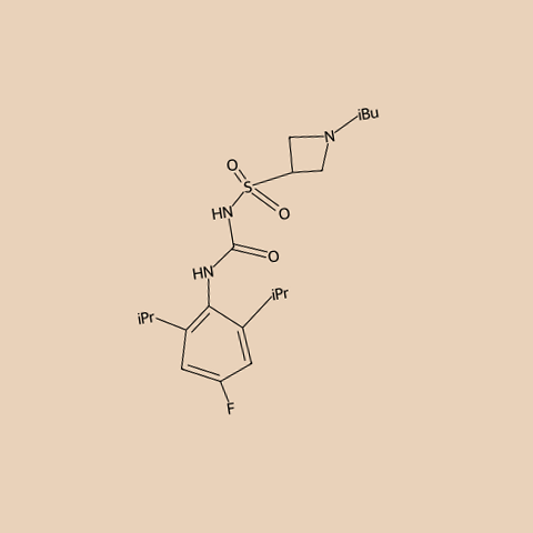 CCC(C)N1CC(S(=O)(=O)NC(=O)Nc2c(C(C)C)cc(F)cc2C(C)C)C1